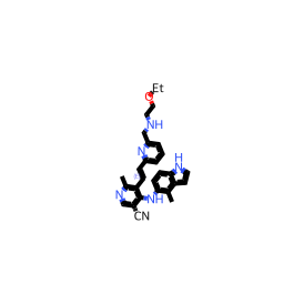 CCOCCNCc1cccc(/C=C/c2c(C)ncc(C#N)c2Nc2ccc3[nH]ccc3c2C)n1